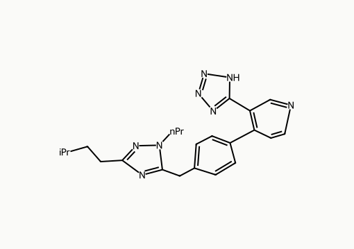 CCCn1nc(CCC(C)C)nc1Cc1ccc(-c2ccncc2-c2nnn[nH]2)cc1